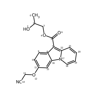 CC(O)COC(=O)c1c2ccc(OCC#N)cc2n2ccccc12